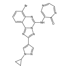 O=c1nccncc1Nc1nc2c(Br)cccc2c2nc(-c3cnn(C4CC4)c3)nn12